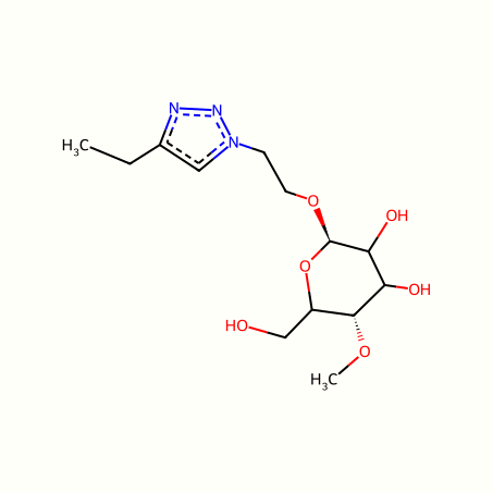 CCc1cn(CCO[C@@H]2OC(CO)[C@@H](OC)C(O)C2O)nn1